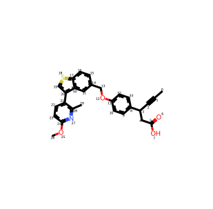 CC#CC(CC(=O)O)c1ccc(OCc2ccc3scc(-c4ccc(OC)nc4C)c3c2)cc1